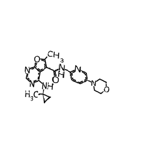 Cc1oc2ncnc(NC3(C)CC3)c2c1C(=O)Nc1ccc(N2CCOCC2)cn1